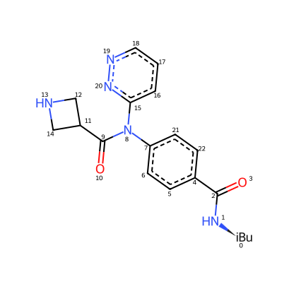 CC[C@H](C)NC(=O)c1ccc(N(C(=O)C2CNC2)c2cccnn2)cc1